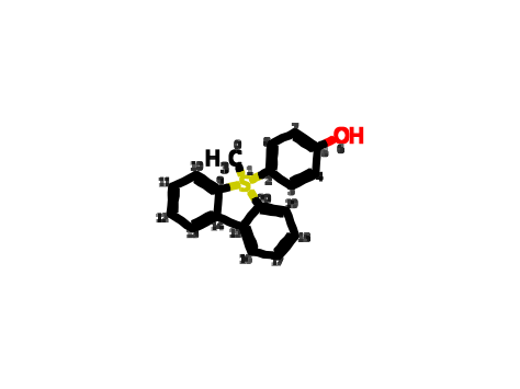 CS1(c2ccc(O)cc2)c2ccccc2-c2ccccc21